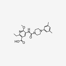 CCc1nc(OC)c(NC(=O)N2CCN(c3cc(C)cc(C)c3)CC2)cc1C(=O)O